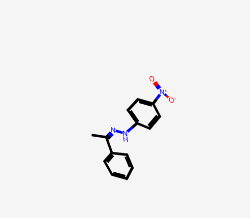 CC(=NNc1ccc([N+](=O)[O-])cc1)c1ccccc1